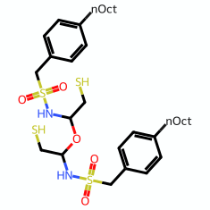 CCCCCCCCc1ccc(CS(=O)(=O)NC(CS)OC(CS)NS(=O)(=O)Cc2ccc(CCCCCCCC)cc2)cc1